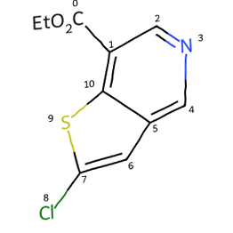 CCOC(=O)c1cncc2cc(Cl)sc12